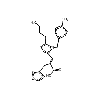 CCCCc1ncc(/C=C(\Cc2cccs2)C(=O)O)n1Cc1ccc(C)cc1